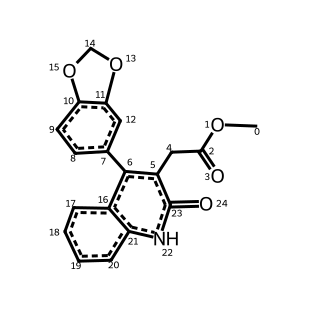 COC(=O)Cc1c(-c2ccc3c(c2)OCO3)c2ccccc2[nH]c1=O